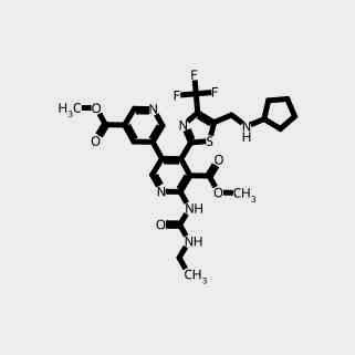 CCNC(=O)Nc1ncc(-c2cncc(C(=O)OC)c2)c(-c2nc(C(F)(F)F)c(CNC3CCCC3)s2)c1C(=O)OC